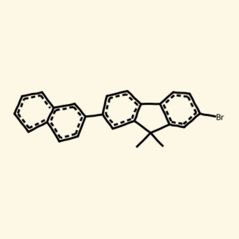 CC1(C)c2cc(Br)ccc2-c2ccc(-c3ccc4ccccc4c3)cc21